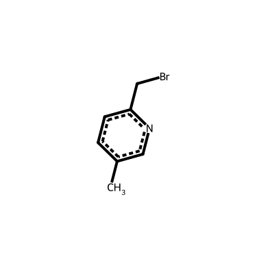 Cc1ccc(CBr)nc1